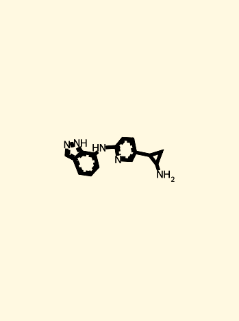 NC1CC1c1ccc(Nc2cccc3cn[nH]c23)nc1